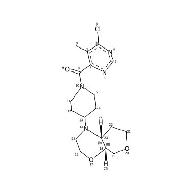 Cc1c(Cl)ncnc1C(=O)N1CCC(N2CCO[C@H]3COCC[C@H]32)CC1